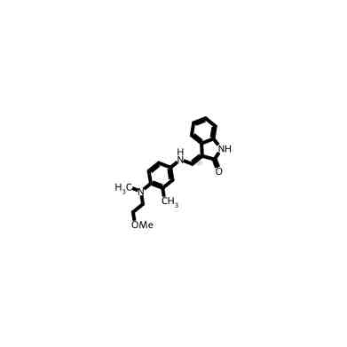 COCCN(C)c1ccc(N/C=C2/C(=O)Nc3ccccc32)cc1C